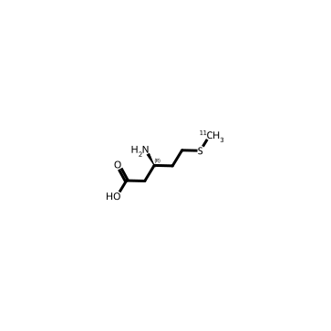 [11CH3]SCC[C@H](N)CC(=O)O